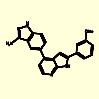 COc1cccc(-c2cc3c(-c4ccc5[nH]nc(N)c5c4)ccnc3[nH]2)c1